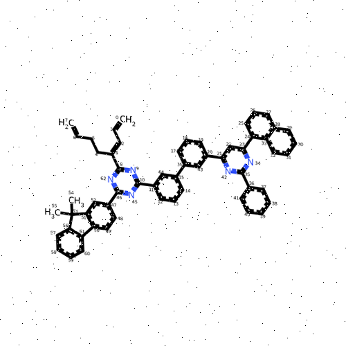 C=C/C=C(\CCC=C)c1nc(-c2cccc(-c3cccc(-c4cc(-c5cccc6ccccc56)nc(-c5ccccc5)n4)c3)c2)nc(-c2ccc3c(c2)C(C)(C)c2ccccc2-3)n1